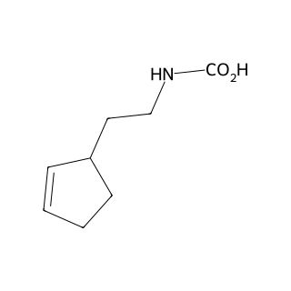 O=C(O)NCCC1C=CCC1